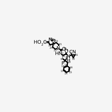 N#CC1(NC(=O)[C@H](CC(F)(F)Cc2ccccc2)NC(=O)N2CCC3(CC2)CC(C(=O)O)=NO3)CC1